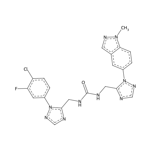 Cn1ncc2cc(-n3ncnc3CNC(=O)NCc3ncnn3-c3ccc(Cl)c(F)c3)ccc21